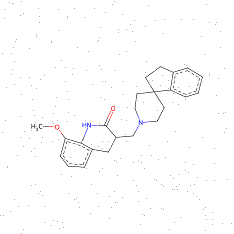 COc1cccc2c1NC(=O)C(CN1CCC3(CCc4ccccc43)CC1)C2